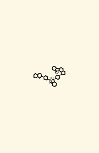 c1ccc2cc(-c3ccc(-c4nc(-c5ccc(-c6cccc7ccc8c9ccccc9oc8c67)cc5)c5ccccc5n4)cc3)ccc2c1